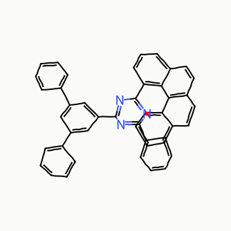 c1ccc(-c2cc(-c3ccccc3)cc(-c3nc(-c4ccccc4)nc(-c4cccc5ccc6ccc7ccccc7c6c45)n3)c2)cc1